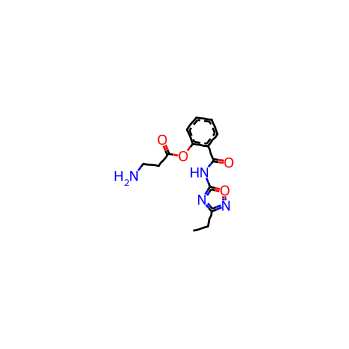 CCc1noc(NC(=O)c2ccccc2OC(=O)CCN)n1